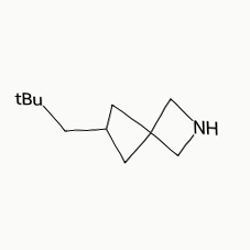 CC(C)(C)CC1CC2(CNC2)C1